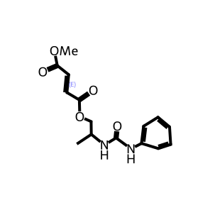 COC(=O)/C=C/C(=O)OCC(C)NC(=O)Nc1ccccc1